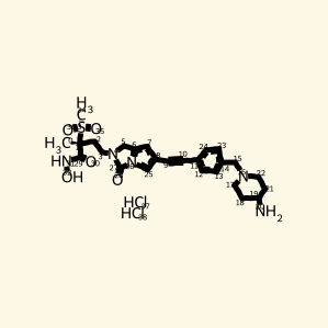 C[C@@](CCN1Cc2cc(C#Cc3ccc(CN4CCC(N)CC4)cc3)cn2C1=O)(C(=O)NO)S(C)(=O)=O.Cl.Cl